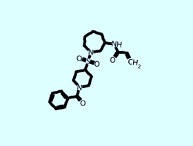 C=CC(=O)NC1CCCCN(S(=O)(=O)C2CCN(C(=O)c3ccccc3)CC2)C1